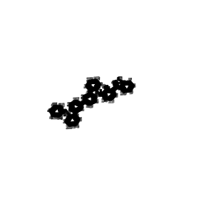 Cc1c(-c2csc3ccccc23)cccc1-n1c2ccccc2c2cc(-c3ccc4c(c3)c3ccccc3n4-c3ccccc3)ccc21